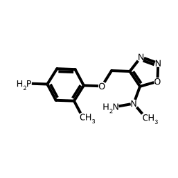 Cc1cc(P)ccc1OCc1nnoc1N(C)N